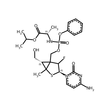 CC(C)OC(=O)[C@H](C)NP(=O)(OCC12C(F)[C@@H](n3ccc(N)nc3=O)SC1(C)[C@@H]2CO)Oc1ccccc1